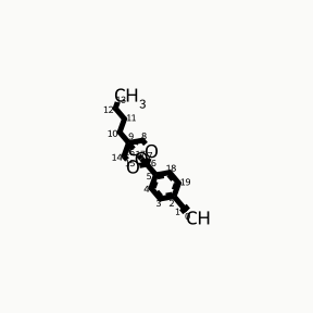 C#Cc1ccc(C23OCC(CCCC)(CO2)CO3)cc1